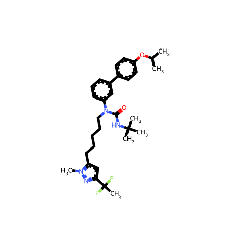 CC(C)Oc1ccc(-c2cccc(N(CCCCCc3cc(C(C)(F)F)nn3C)C(=O)NC(C)(C)C)c2)cc1